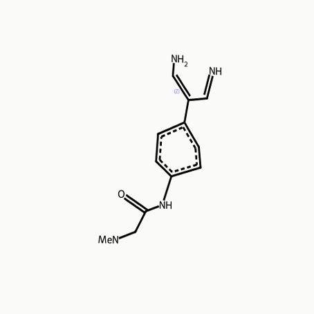 CNCC(=O)Nc1ccc(/C(C=N)=C/N)cc1